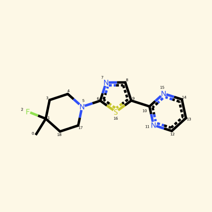 CC1(F)CCN(c2ncc(-c3ncccn3)s2)CC1